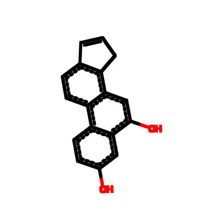 Oc1ccc2c(c1)c(O)cc1c3c(ccc12)C=CC3